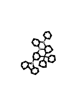 c1ccc(B2c3ccccc3N3c4ccc(-n5c6ccccc6c6ccccc65)cc4C(c4ccccc4)(c4ccccc4)c4cccc2c43)cc1